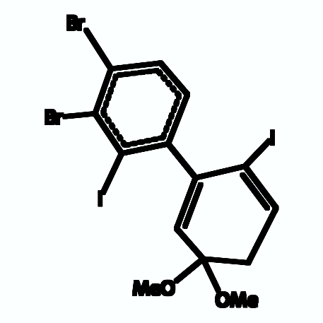 COC1(OC)C=C(c2ccc(Br)c(Br)c2I)C(I)=CC1